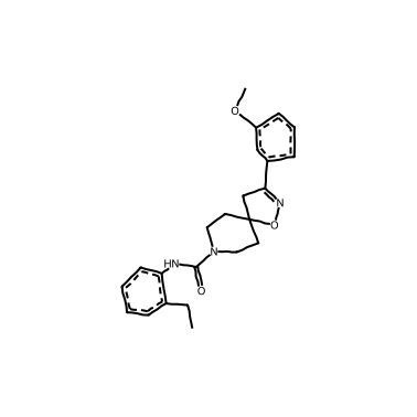 CCc1ccccc1NC(=O)N1CCC2(CC1)CC(c1cccc(OC)c1)=NO2